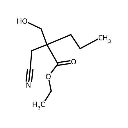 CCCC(CO)(CC#N)C(=O)OCC